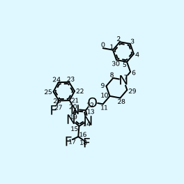 Cc1cccc(CN2CCC(COc3nc(C(F)F)nn3-c3ccccc3F)CC2)c1